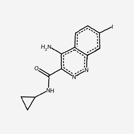 Nc1c(C(=O)NC2CC2)nnc2cc(I)ccc12